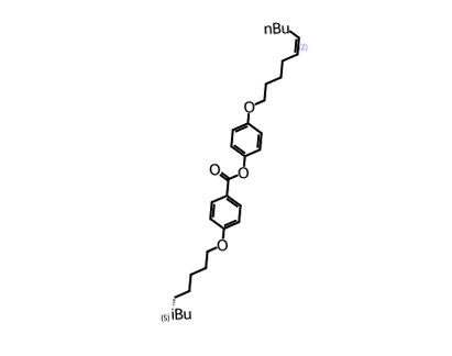 CCCC/C=C\CCCCOc1ccc(OC(=O)c2ccc(OCCCCC[C@@H](C)CC)cc2)cc1